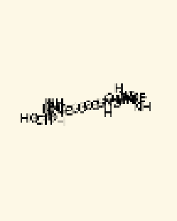 C[C@@H](NC(=O)c1ccnc(CNC(=O)CCC(=O)NCCOCCOCCOCCOCCOCCOCCC(=O)N[C@H](CCC(=O)NCCCCC(O)CO)C(=O)NCCS)c1)C(=O)N1CC(F)(F)C[C@H]1C=N